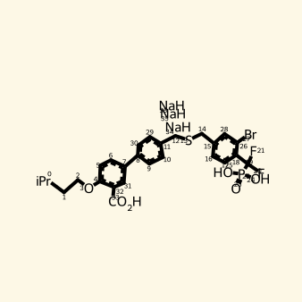 CC(C)CCOc1ccc(-c2ccc(CSCc3ccc(C(F)(F)P(=O)(O)O)c(Br)c3)cc2)cc1C(=O)O.[NaH].[NaH].[NaH]